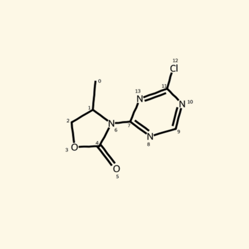 CC1COC(=O)N1c1ncnc(Cl)n1